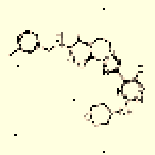 Cc1cccc(CNC(=O)C(C)N2CCn3cc(-c4nc(NC5CCOCC5)ncc4Cl)nc3C2=O)c1